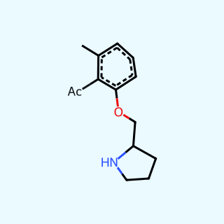 CC(=O)c1c(C)cccc1OCC1CCCN1